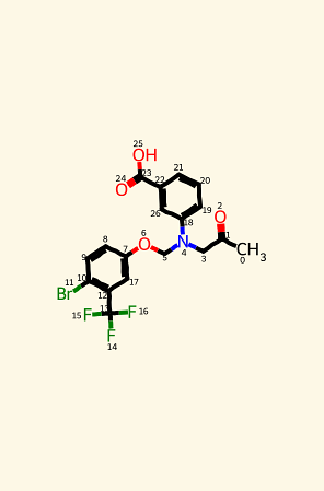 CC(=O)CN(COc1ccc(Br)c(C(F)(F)F)c1)c1cccc(C(=O)O)c1